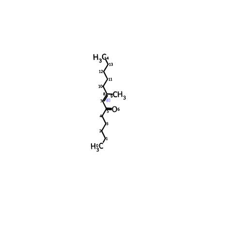 CCCCCC(=O)/C=C(\C)CCCCC